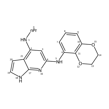 CCCNc1cc(Nc2cc[c]c3c2OCCO3)nc2[nH]ccc12